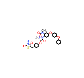 CN(C(=O)OC(C)(C)C)c1cc(Oc2ccc(Oc3ccccc3)cc2)ccc1NC(=O)COc1ccc(CC2SC(=O)NC2=O)cc1